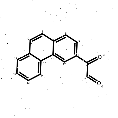 O=CC(=O)c1ccc2ccc3ccccc3c2c1